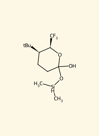 C[SiH](C)OC1(O)CC[C@@H](C(C)(C)C)[C@@H](C(F)(F)F)O1